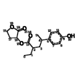 CCC(CC(C)c1ccc(O)cc1)C(=O)OC1CCOC1=O